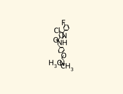 CN(C)CCOc1ccc(CNC(=O)c2cnc(-c3cccc(F)c3)c(Cl)c2)cc1